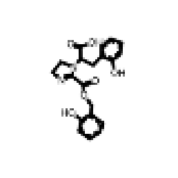 O=C(OCc1ccccc1O)C1=NCCN1C(Cc1ccccc1O)C(=O)O